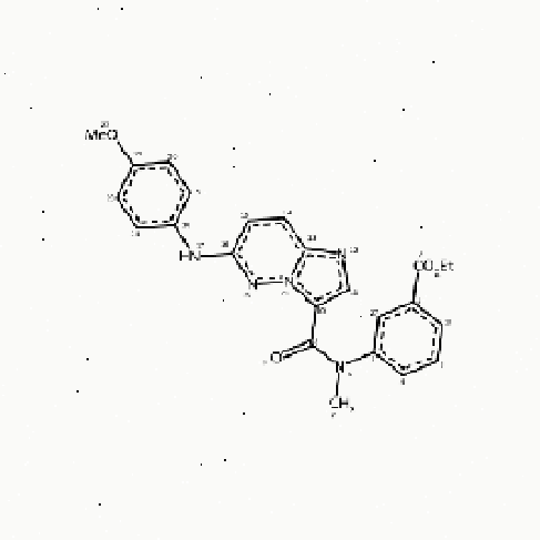 CCOC(=O)c1cccc(N(C)C(=O)c2cnc3ccc(Nc4ccc(OC)cc4)nn23)c1